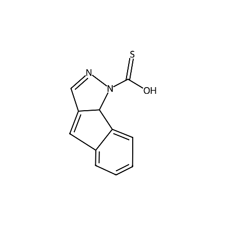 OC(=S)N1N=CC2=Cc3ccccc3C21